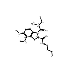 CCCCNC(=O)[C@H]1Cc2c(ccc(OC)c2OC)N1C(=O)[C@@H](N)CC